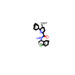 COc1ccc(C(=O)NC(CC(=O)O)c2ccccc2Cl)nc1-c1ccccc1